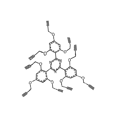 C#CCOc1cc(OCC#C)c(-c2nc(-c3c(OCC#C)cc(OCC#C)cc3OCC#C)nc(-c3c(OCC#C)cc(OCC#C)cc3OCC#C)n2)c(OCC#C)c1